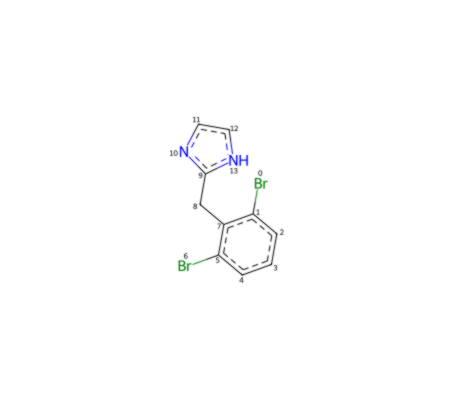 Brc1cccc(Br)c1Cc1ncc[nH]1